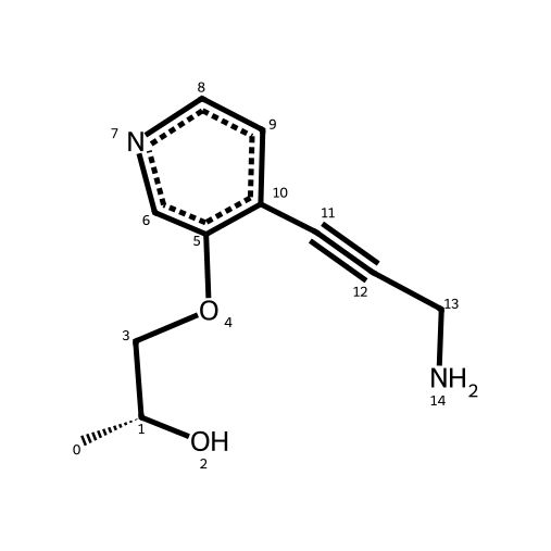 C[C@@H](O)COc1cnccc1C#CCN